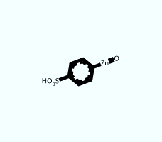 [O]=[Zn][c]1ccc(S(=O)(=O)O)cc1